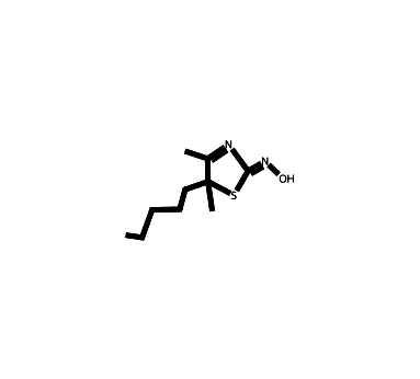 CCCCCC1(C)SC(=NO)N=C1C